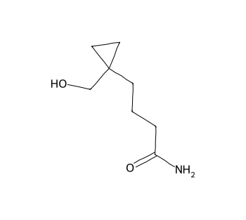 NC(=O)CCCC1(CO)CC1